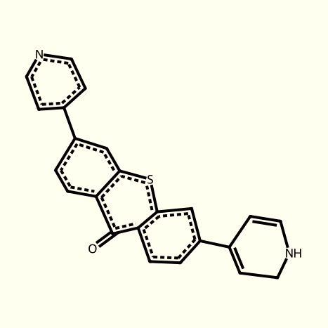 O=c1c2ccc(C3=CCNC=C3)cc2sc2cc(-c3ccncc3)ccc12